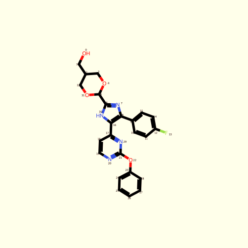 OCC1COC(c2nc(-c3ccc(F)cc3)c(-c3ccnc(Oc4ccccc4)n3)[nH]2)OC1